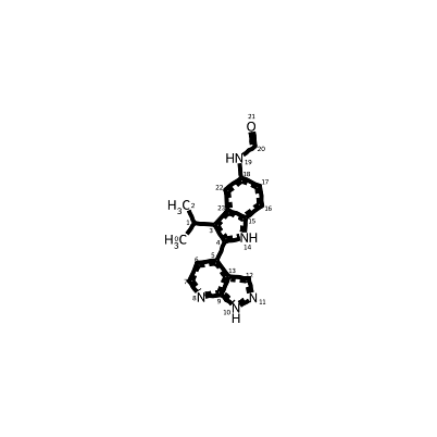 CC(C)c1c(-c2ccnc3[nH]ncc23)[nH]c2ccc(NC=O)cc12